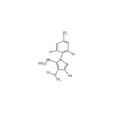 C[CH]OC(=O)Nc1c([S+]([O-])C(F)(F)F)c(C#N)nn1-c1c(Cl)cc(C(F)(F)F)cc1Cl